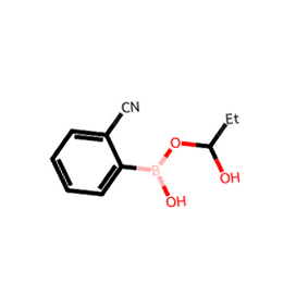 CCC(O)OB(O)c1ccccc1C#N